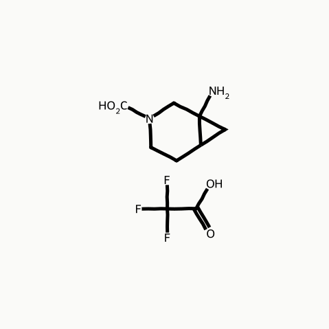 NC12CC1CCN(C(=O)O)C2.O=C(O)C(F)(F)F